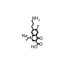 CCn1cc(C(=O)O)c(=O)c2cc(F)c(CCCN)cc21.[Na]